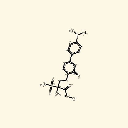 CN(C)c1ccc(-c2ccn(CCC(C)(C(=O)NO)S(C)(=O)=O)c(=O)c2)cn1